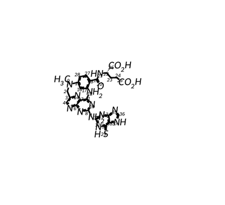 CN(Cc1cnc2nc(N)nc(N)c2n1)c1ccc(C(=O)N[C@@H](CCC(=O)O)C(=O)O)cc1.S=c1[nH]cnc2nc[nH]c12